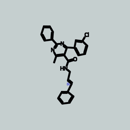 Cc1nc(-c2ccccc2)nc(-c2cccc(Cl)c2)c1C(=O)NC/C=C/c1ccccc1